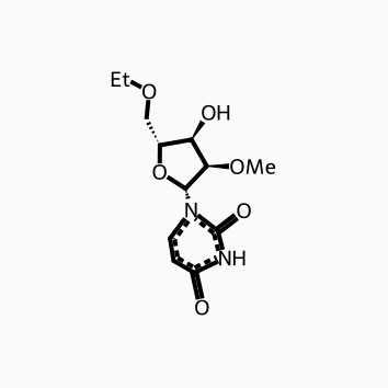 CCOC[C@H]1O[C@@H](n2ccc(=O)[nH]c2=O)[C@H](OC)[C@@H]1O